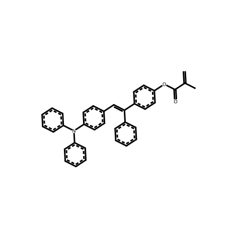 C=C(C)C(=O)Oc1ccc(C(=Cc2ccc(N(c3ccccc3)c3ccccc3)cc2)c2ccccc2)cc1